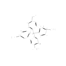 Oc1ccc(C2(c3ccc(O)cc3)c3ccc(O)cc3-c3cc(O)ccc32)cc1